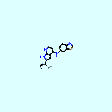 CC/C=C(\CCC)c1cc2c(Nc3ccc4ncsc4c3)ccnc2[nH]1